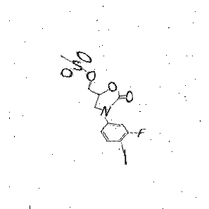 CS(=O)(=O)OCC1CN(c2ccc(I)c(F)c2)C(=O)O1